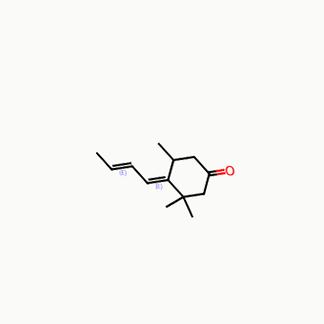 C/C=C/C=C1\C(C)CC(=O)CC1(C)C